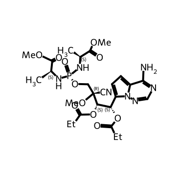 CCC(=O)O[C@@H](c1ccc2c(N)ncnn12)[C@H](OC(=O)CC)[C@@](C#N)(COP(=O)(N[C@@H](C)C(=O)OC)N[C@@H](C)C(=O)OC)OC